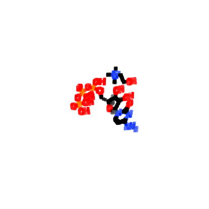 C[N+](C)(C)CCO.Nc1ccn([C@@H]2O[C@H](COP(=O)(O)OP(=O)(O)OP(=O)(O)O)[C@@H](O)[C@H]2O)c(=O)n1